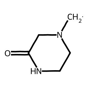 [CH2]N1CCNC(=O)C1